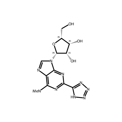 CNc1nc(-c2nnn[nH]2)nc2c1ncn2[C@@H]1O[C@H](CO)[C@H](O)[C@@H]1O